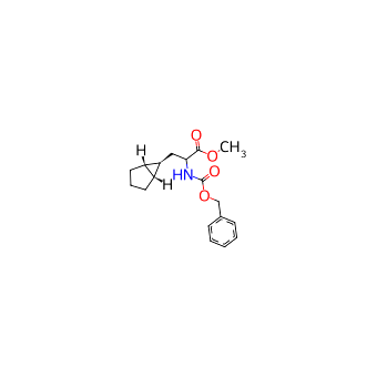 COC(=O)C(C[C@H]1[C@@H]2CCC[C@@H]21)NC(=O)OCc1ccccc1